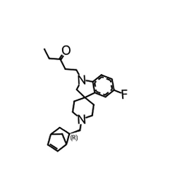 CCC(=O)CCN1CC2(CCN(C[C@@H]3CC4C=CC3C4)CC2)c2cc(F)ccc21